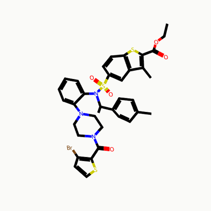 CCOC(=O)c1sc2ccc(S(=O)(=O)N(c3ccccc3N3CCN(C(=O)c4sccc4Br)CC3)C(C)c3ccc(C)cc3)cc2c1C